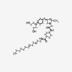 CC1=N/C(=C/c2ccc(N(CCO)CCO)cc2)CN1CC(=O)NC1CCC(C(=O)NCCOCCOCCCCCCCl)CC1